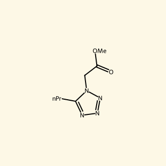 [CH2]CCc1nnnn1CC(=O)OC